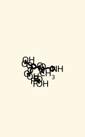 CN(CC(=O)c1ccc(OCC(=O)O)c(OCC(=O)O)c1)C(=O)CCC1CCNCC1.O=C(O)C(F)(F)F